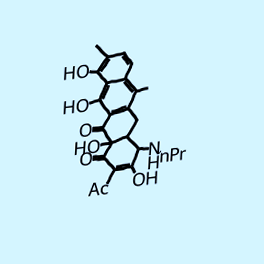 CCCNC1C(O)=C(C(C)=O)C(=O)C2(O)C(=O)c3c(c(C)c4ccc(C)c(O)c4c3O)CC12